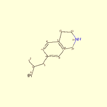 CC(C)C(C)Cc1ccc2c(c1)CNCC2